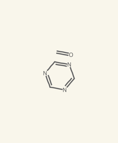 C=O.c1ncncn1